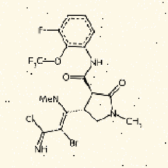 CN/C(=C(/Br)C(=N)Cl)[C@H]1CN(C)C(=O)[C@@H]1C(=O)Nc1cccc(F)c1OC(F)(F)F